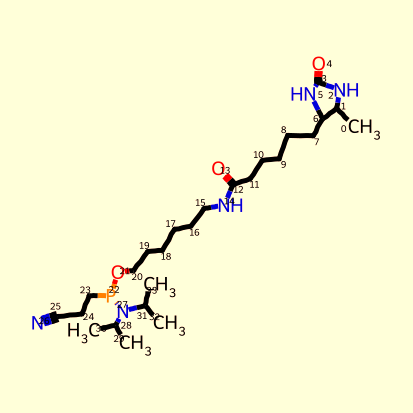 CC1NC(=O)NC1CCCCCC(=O)NCCCCCCOP(CCC#N)N(C(C)C)C(C)C